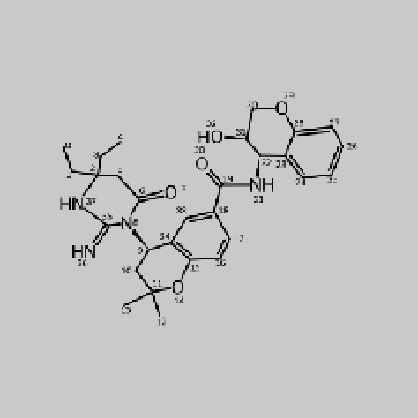 CCC1(CC)CC(=O)N([C@@H]2CC(C)(C)Oc3ccc(C(=O)N[C@@H]4c5ccccc5OC[C@@H]4O)cc32)C(=N)N1